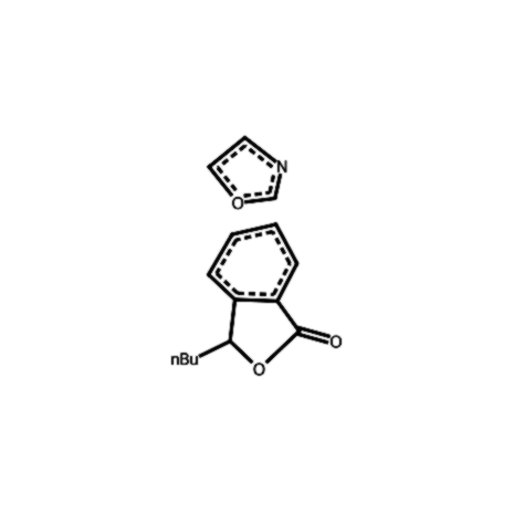 CCCCC1OC(=O)c2ccccc21.c1cocn1